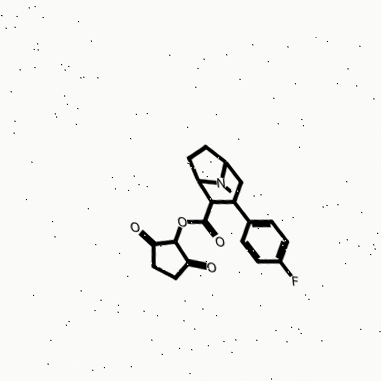 CN1C2CCC1C(C(=O)OC1C(=O)CCC1=O)C(c1ccc(F)cc1)C2